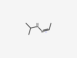 C/C=N\NC(C)C